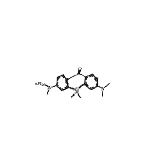 CCCCN(C)c1ccc2c(c1)[Si](C)(C)c1cc(N(C)C)ccc1C2=O